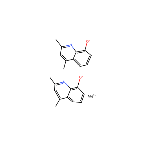 Cc1cc(C)c2cccc([O-])c2n1.Cc1cc(C)c2cccc([O-])c2n1.[Mg+2]